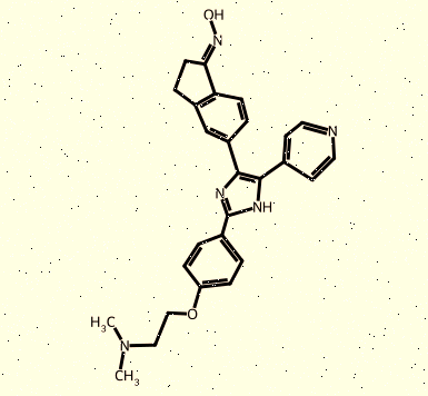 CN(C)CCOc1ccc(-c2nc(-c3ccc4c(c3)CC/C4=N\O)c(-c3ccncc3)[nH]2)cc1